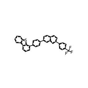 FC(F)(F)c1ccc(-c2ccc3ccc(-c4ccc(-c5cccc6c5sc5ccccc56)cc4)cc3c2)cc1